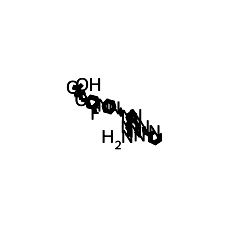 CC(C)(Oc1ccc(N2CCN(CCn3cnc4c3nc(N)n3nc(-c5ccccn5)nc43)CC2)c(F)c1)C(=O)O